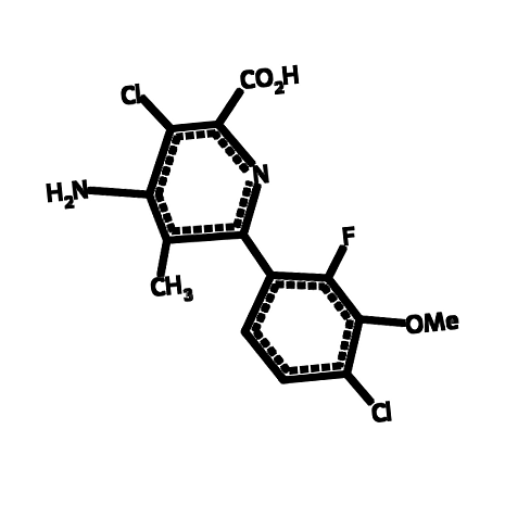 COc1c(Cl)ccc(-c2nc(C(=O)O)c(Cl)c(N)c2C)c1F